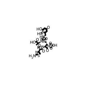 CC(C)(ON=C(C(=O)N[C@@H]1C(=O)N(S(=O)(=O)O)[C@H]1CNS(=O)(=O)NCc1cc(=O)cc(O)n1O)c1csc(N)n1)C(=O)O